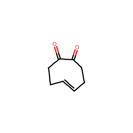 O=C1CC/C=C/CCC1=O